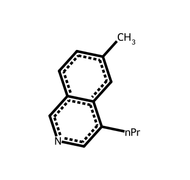 CCCc1cncc2ccc(C)cc12